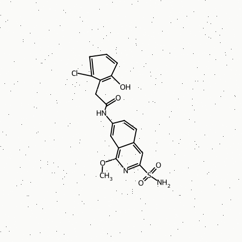 COc1nc(S(N)(=O)=O)cc2ccc(NC(=O)Cc3c(O)cccc3Cl)cc12